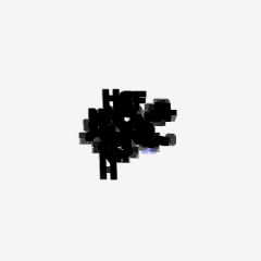 C=C/C=C\C(=O)Nc1cc(Nc2ncc(C)c(-c3c[nH]c4ccccc34)n2)c(OC(F)(F)F)cc1N(C)CCN(C)C